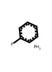 Fc1ccccc1.P